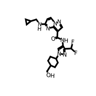 O=C(Nc1cn(C2CCC(CO)CC2)nc1C(F)F)c1cnn2ccc(NCC3CC3)nc12